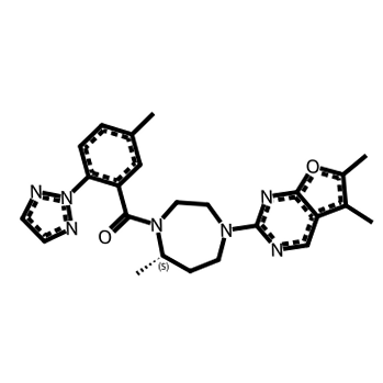 Cc1ccc(-n2nccn2)c(C(=O)N2CCN(c3ncc4c(C)c(C)oc4n3)CC[C@@H]2C)c1